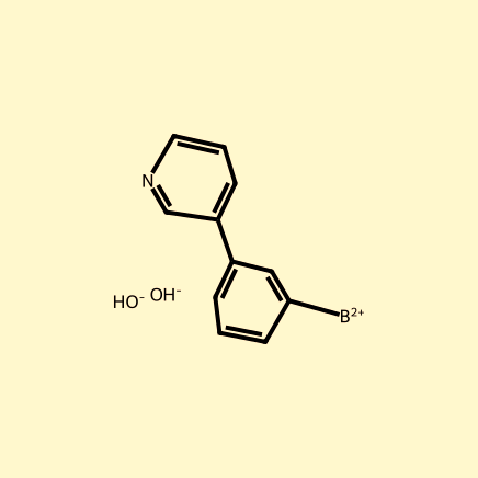 [B+2]c1cccc(-c2cccnc2)c1.[OH-].[OH-]